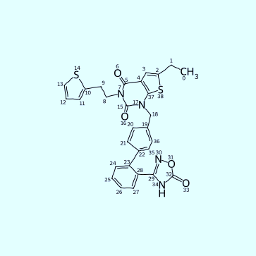 CCc1cc2c(=O)n(CCc3cccs3)c(=O)n(Cc3ccc(-c4ccccc4-c4noc(=O)[nH]4)cc3)c2s1